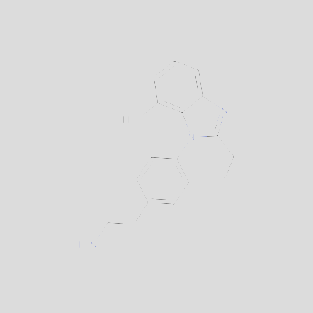 CCc1nc2cccc(C)c2n1-c1ccc(CCN)cc1